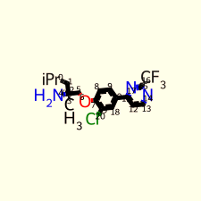 CC(C)C[C@](C)(N)COc1ccc(-c2ccnc(C(F)(F)F)n2)cc1Cl